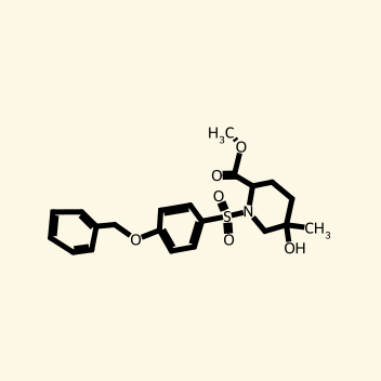 COC(=O)C1CCC(C)(O)CN1S(=O)(=O)c1ccc(OCc2ccccc2)cc1